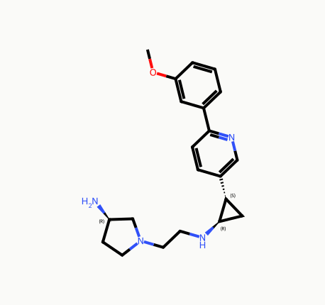 COc1cccc(-c2ccc([C@@H]3C[C@H]3NCCN3CC[C@@H](N)C3)cn2)c1